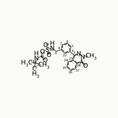 Cn1nc(-c2cccc(CNS(=O)(=O)OC(=O)NC(C)(C)C)c2)c2ccccc2c1=O